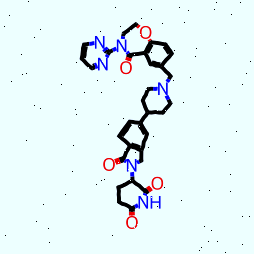 O=C1CCC(N2Cc3cc(C4CCN(Cc5ccc6c(c5)C(=O)N(c5ncccn5)CCO6)CC4)ccc3C2=O)C(=O)N1